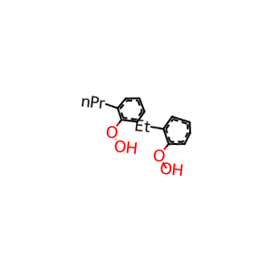 CCCc1ccccc1OO.CCc1ccccc1OO